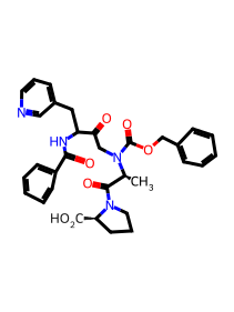 C[C@@H](C(=O)N1CCC[C@H]1C(=O)O)N(CC(=O)C(Cc1cccnc1)NC(=O)c1ccccc1)C(=O)OCc1ccccc1